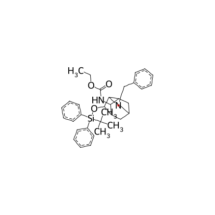 CCOC(=O)NC1C2CC3CC1C(C2O[Si](c1ccccc1)(c1ccccc1)C(C)(C)C)N(Cc1ccccc1)C3